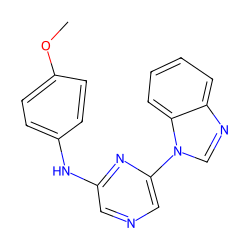 COc1ccc(Nc2cncc(-n3cnc4ccccc43)n2)cc1